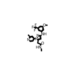 CCNC(=O)Cc1cc(Nc2cc(OC)cc(C(F)(F)F)c2)nn1-c1ccnc(C)c1